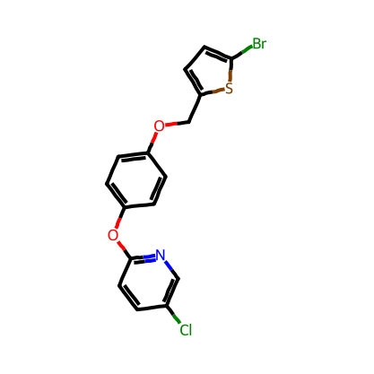 Clc1ccc(Oc2ccc(OCc3ccc(Br)s3)cc2)nc1